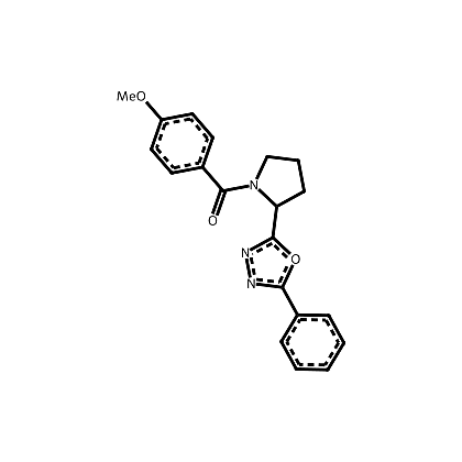 COc1ccc(C(=O)N2CCCC2c2nnc(-c3ccccc3)o2)cc1